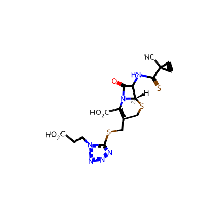 N#CC1(C(=S)NC2C(=O)N3C(C(=O)O)=C(CSc4nnnn4CCC(=O)O)CS[C@@H]23)C#C1